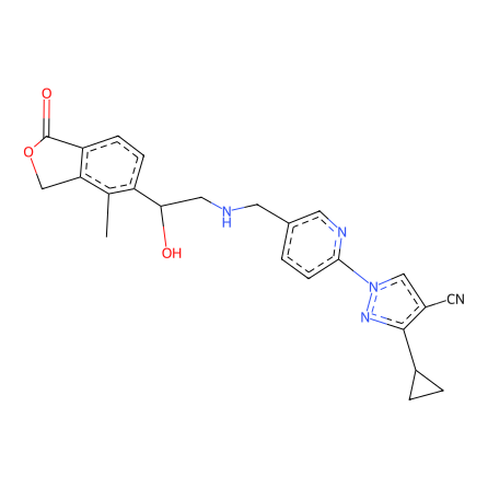 Cc1c(C(O)CNCc2ccc(-n3cc(C#N)c(C4CC4)n3)nc2)ccc2c1COC2=O